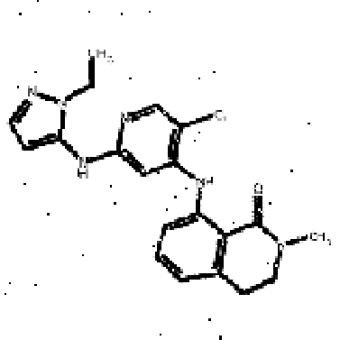 CCn1nccc1Nc1cc(Nc2cccc3c2C(=O)N(C)CC3)c(Cl)cn1